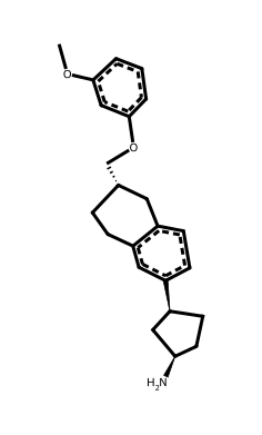 COc1cccc(OC[C@H]2CCc3cc([C@H]4CC[C@@H](N)C4)ccc3C2)c1